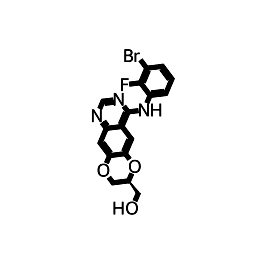 OC[C@H]1COc2cc3ncnc(Nc4cccc(Br)c4F)c3cc2O1